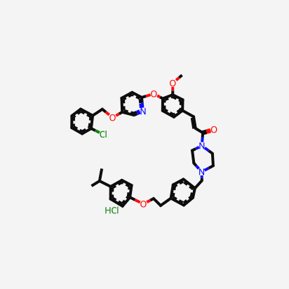 COc1cc(/C=C/C(=O)N2CCN(Cc3ccc(CCOc4ccc(C(C)C)cc4)cc3)CC2)ccc1Oc1ccc(OCc2ccccc2Cl)cn1.Cl